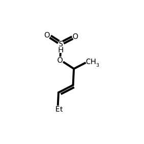 CC/C=C/C(C)O[SH](=O)=O